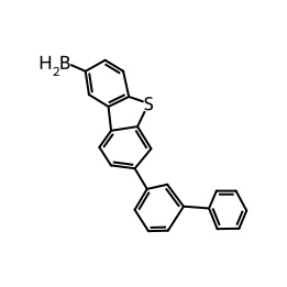 Bc1ccc2sc3cc(-c4cccc(-c5ccccc5)c4)ccc3c2c1